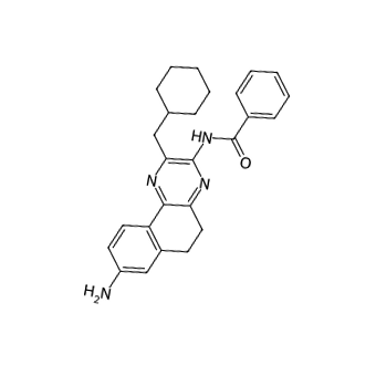 Nc1ccc2c(c1)CCc1nc(NC(=O)c3ccccc3)c(CC3CCCCC3)nc1-2